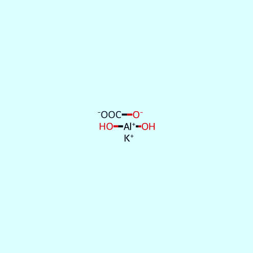 O=C([O-])[O-].[K+].[OH][Al+][OH]